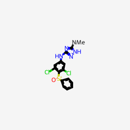 CNc1nc(Nc2cc(Cl)c([S+]([O-])c3ccccc3)c(Cl)c2)n[nH]1